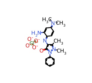 Cc1c(N=C2C=CC(=[N+](C)C)C=C2N)c(=O)n(-c2ccccc2)n1C.[O-][Cl+3]([O-])([O-])[O-]